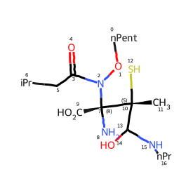 CCCCCON(C(=O)CC(C)C)[C@](N)(C(=O)O)[C@](C)(S)C(O)NCCC